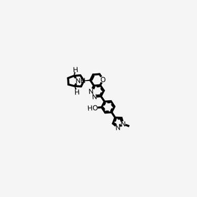 Cn1cc(-c2ccc(-c3cc4c(nn3)C([C@@H]3C[C@H]5CC[C@@H](C3)N5)=CCO4)c(O)c2)cn1